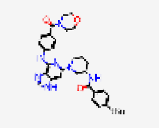 CC(C)(C)c1ccc(C(=O)N[C@H]2CCCN(c3cc4[nH]cnc4c(Nc4ccc(C(=O)N5CCOCC5)cc4)n3)C2)cc1